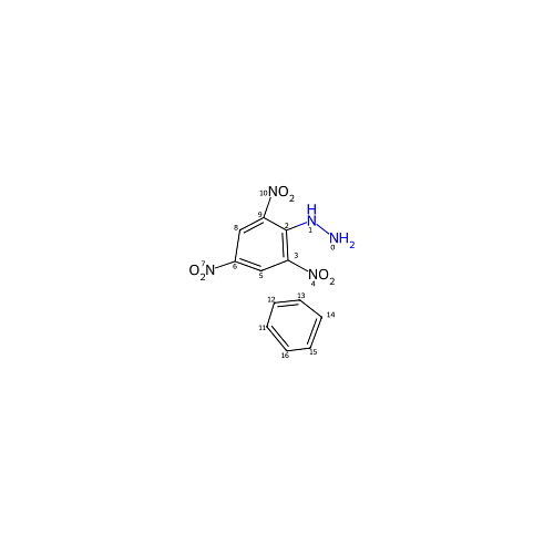 NNc1c([N+](=O)[O-])cc([N+](=O)[O-])cc1[N+](=O)[O-].c1ccccc1